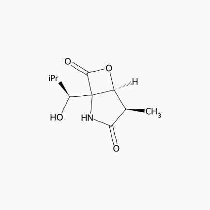 CC(C)[C@H](O)C12NC(=O)[C@H](C)[C@@H]1OC2=O